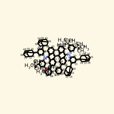 C[Si](C)(C)c1cc(N(c2cc(C34CC5CC(CC(C5)C3)C4)cc(C34CC5CC(CC(C5)C3)C4)c2)c2c3ccccc3c(-c3c4ccccc4c(N(c4cc(C56CC7CC(CC(C7)C5)C6)cc(C56CC7CC(CC(C7)C5)C6)c4)c4cc([Si](C)(C)C)cc([Si](C)(C)C)c4)c4cc(-c5ccccc5)ccc34)c3cc(-c4ccccc4)ccc23)cc([Si](C)(C)C)c1